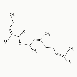 CCC=C(C)C(=O)OC(C)C=C(C)CCC=C(C)C